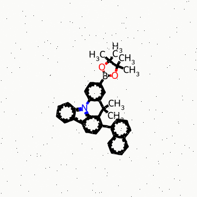 CC1(C)c2cc(B3OC(C)(C)C(C)(C)O3)ccc2-n2c3ccccc3c3ccc(-c4cccc5ccccc45)c1c32